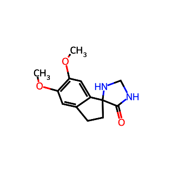 COc1cc2c(cc1OC)C1(CC2)NCNC1=O